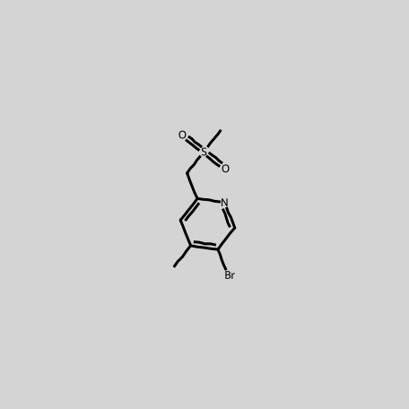 Cc1cc(CS(C)(=O)=O)ncc1Br